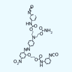 C=C(/C=C(\C=C/C)NC(=O)OCCN(CCOC(N)=O)c1ccc(/N=N/c2ccc([N+](=O)[O-])cc2OCCOC(=O)Nc2cccc(N=C=O)c2)cc1)N=C=O